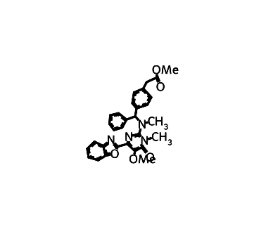 COC(=O)Cc1ccc(C(c2ccccc2)N(C)c2nc(-c3nc4ccccc4o3)c(OC)c(=O)n2C)cc1